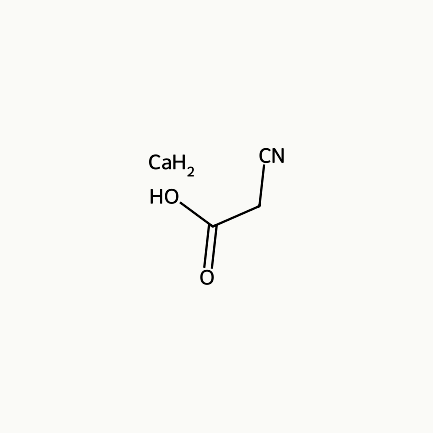 N#CCC(=O)O.[CaH2]